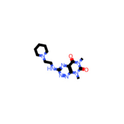 Cn1c(=O)c2nc(NCCN3CCCCC3)nnc2n(C)c1=O